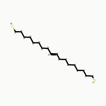 FCCCCCCCCC=CCCCCCCCCF